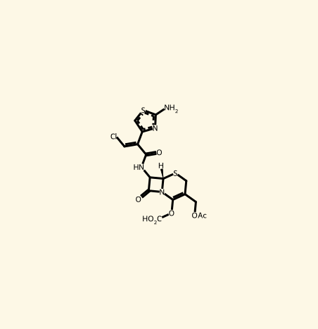 CC(=O)OCC1=C(OC(=O)O)N2C(=O)C(NC(=O)C(=CCl)c3csc(N)n3)[C@@H]2SC1